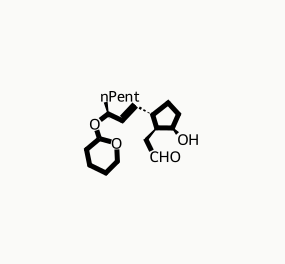 CCCCC[C@@H](C=C[C@@H]1CC[C@@H](O)[C@H]1CC=O)OC1CCCCO1